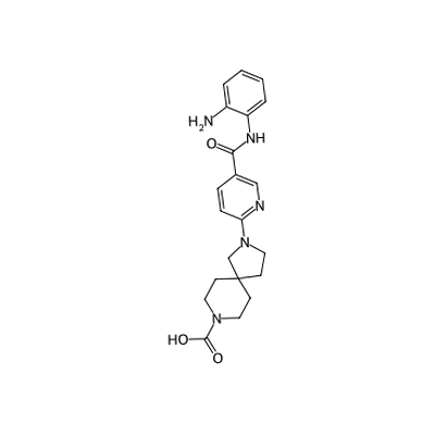 Nc1ccccc1NC(=O)c1ccc(N2CCC3(CCN(C(=O)O)CC3)C2)nc1